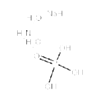 N.O.O.O=P(O)(O)O.[NaH]